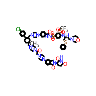 C[C@@]1(CN2CCN(C(=O)CN3CCN(c4ccc5c(c4)CN(C4CCC(=O)NC4=O)C5=O)CC3)CC2)CCC(c2ccc(Cl)cc2)=C(CN2CCN(c3ccc(C(=O)NS(=O)(=O)c4ccc(N[C@H](CCN5CCCOCC5)CSc5ccccc5)c(S(=O)(=O)C(F)(F)F)c4)cc3)CC2)C1